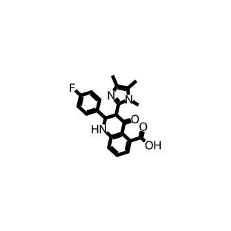 Cc1nc(C2C(=O)c3c(cccc3C(=O)O)NC2c2ccc(F)cc2)n(C)c1C